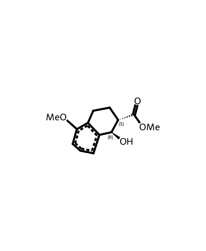 COC(=O)[C@H]1CCc2c(OC)cccc2[C@@H]1O